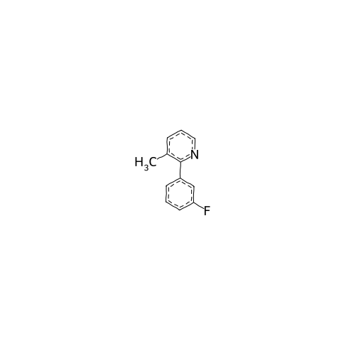 Cc1cccnc1-c1cccc(F)c1